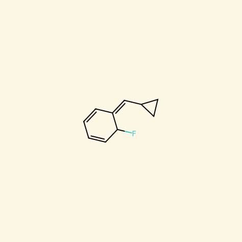 FC1C=CC=CC1=CC1CC1